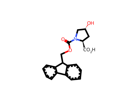 O=C(O)[C@@H]1C[C@@H](O)CN1C(=O)OCC1c2ccccc2-c2ccccc21